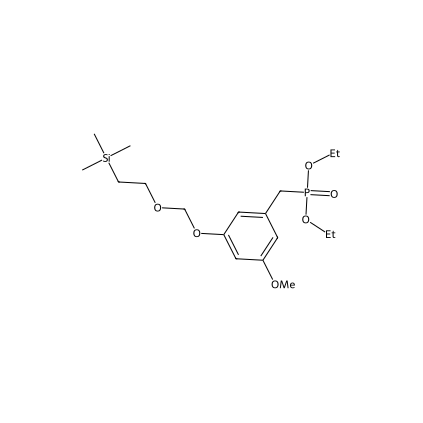 CCOP(=O)(Cc1cc(OC)cc(OCOCC[Si](C)(C)C)c1)OCC